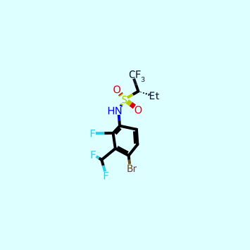 CC[C@@H](C(F)(F)F)S(=O)(=O)Nc1ccc(Br)c(C(F)F)c1F